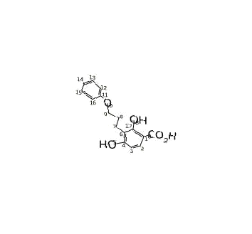 O=C(O)c1ccc(O)c(CCCOc2ccccc2)c1O